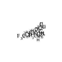 CC1=C(C(=O)N2CCN(c3ccc(C(F)(F)F)cc3)CC2)C(c2ccc(Cl)c(Cl)c2)n2nccc2N1